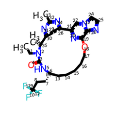 CCN1C(=O)N[C@@H](CCC(F)(F)F)CCCCCOc2nc(cn3ccnc23)-c2cc(nc(C)n2)[C@H]1C